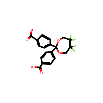 O=C(O)c1ccc(C2(c3ccc(C(=O)O)cc3)OCC(F)(F)C(F)(F)CO2)cc1